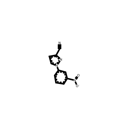 N#Cc1ccn(-c2cccc([N+](=O)[O-])c2)n1